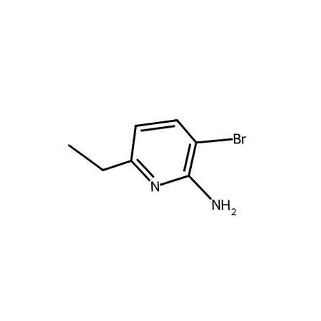 CCc1ccc(Br)c(N)n1